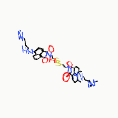 CC1CC=C2C(=O)N(CCSSCCN3C(=O)c4ccc(NCCCN(C)C)c5cccc(c45)C3O)C(=O)C3=C2C1C(C)(NCCCN(C)C)C=C3